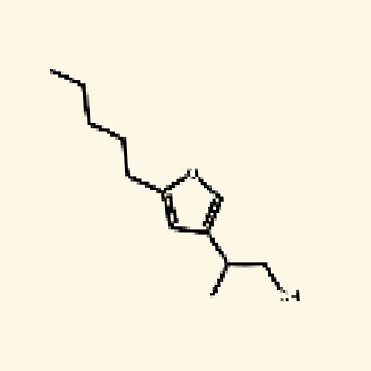 CCCCCc1cc(C(C)CO)co1